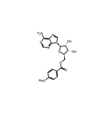 COc1ccc(C(=O)OC[C@H]2O[C@@H](n3cnc4c(N)ncnc43)[C@H](O)[C@@H]2O)cc1